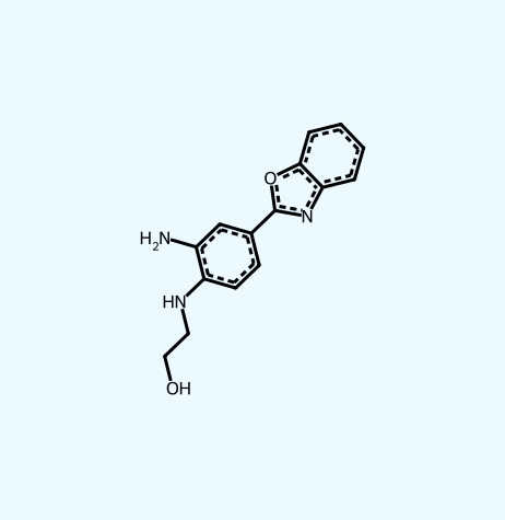 Nc1cc(-c2nc3ccccc3o2)ccc1NCCO